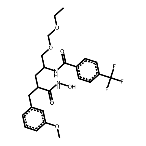 CCOCOCC(CC(Cc1cccc(OC)c1)C(=O)NO)NC(=O)c1ccc(C(F)(F)F)cc1